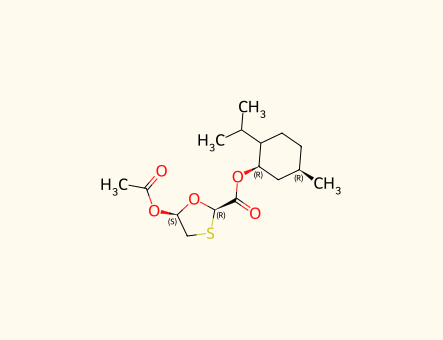 CC(=O)O[C@@H]1CS[C@H](C(=O)O[C@@H]2C[C@H](C)CCC2C(C)C)O1